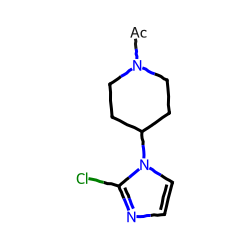 CC(=O)N1CCC(n2ccnc2Cl)CC1